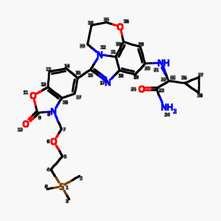 CS(C)(C)CCOCn1c(=O)oc2ccc(-c3nc4cc(N[C@H](C(N)=O)C5CC5)cc5c4n3CCCO5)cc21